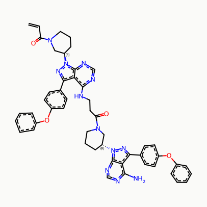 C=CC(=O)N1CCC[C@@H](n2nc(-c3ccc(Oc4ccccc4)cc3)c3c(NCCC(=O)N4CCC[C@@H](n5nc(-c6ccc(Oc7ccccc7)cc6)c6c(N)ncnc65)C4)ncnc32)C1